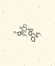 Cc1ccc(Cl)cc1NC(=O)N1CCCC1C(=O)Nc1ccc(-c2ccccc2S(N)(=O)=O)cc1F